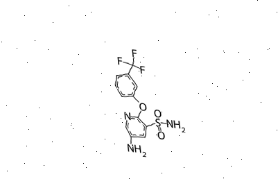 Nc1cnc(Oc2cccc(C(F)(F)F)c2)c(S(N)(=O)=O)c1